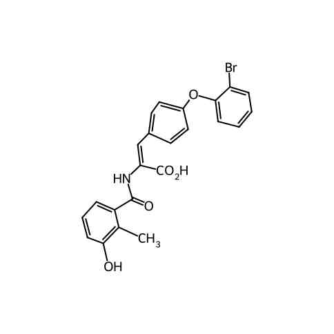 Cc1c(O)cccc1C(=O)N/C(=C/c1ccc(Oc2ccccc2Br)cc1)C(=O)O